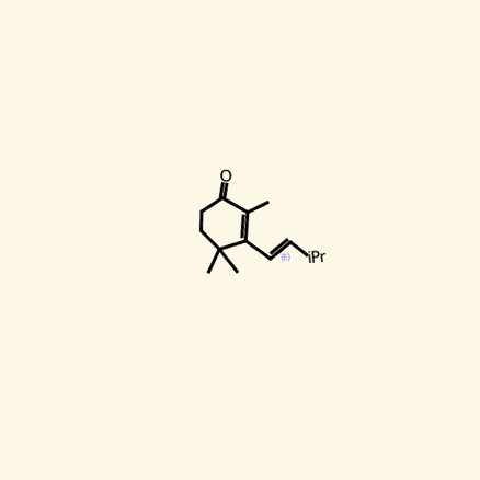 CC1=C(/C=C/C(C)C)C(C)(C)CCC1=O